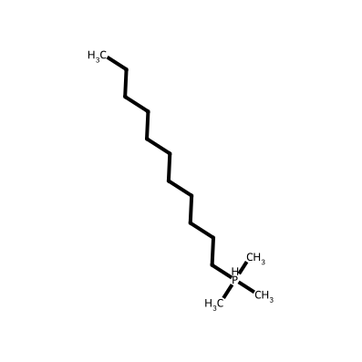 CCCCCCCCCCC[PH](C)(C)C